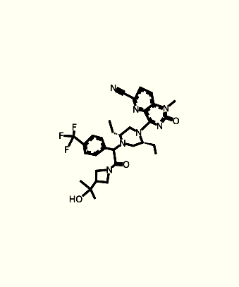 CC[C@H]1CN(C(C(=O)N2CC(C(C)(C)O)C2)c2ccc(C(F)(F)F)cc2)[C@H](CC)CN1c1nc(=O)n(C)c2ccc(C#N)nc12